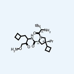 CC(C)[C@@]1(C2CCC2)C[C@@H](C(=O)NC(CC2CCC2)C(=O)CON)N(C(=O)[C@@H](N)C(C)(C)C)C1